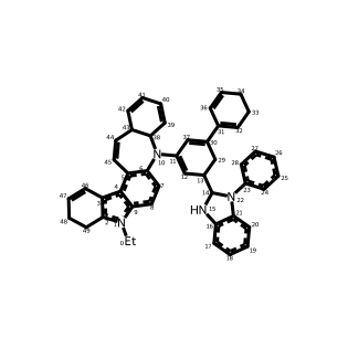 CCn1c2c(c3c4c(ccc31)N(C1=CC(C3Nc5ccccc5N3c3ccccc3)CC(C3=CCCC=C3)=C1)C1C=CC=CC1C=C4)C=CCC2